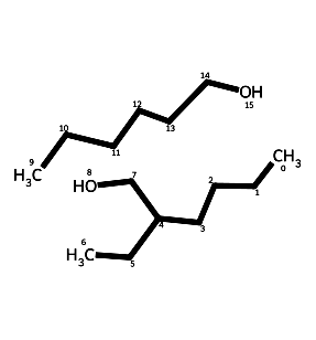 CCCCC(CC)CO.CCCCCCO